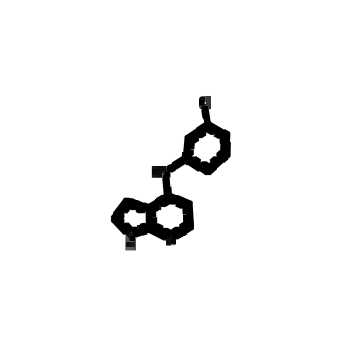 Clc1cccc(Nc2ccnc3[nH]ccc23)c1